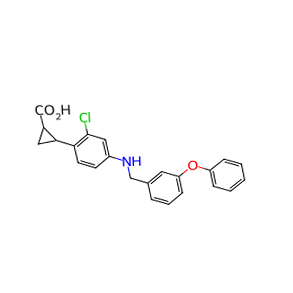 O=C(O)C1CC1c1ccc(NCc2cccc(Oc3ccccc3)c2)cc1Cl